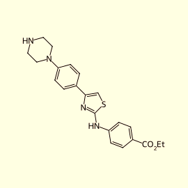 CCOC(=O)c1ccc(Nc2nc(-c3ccc(N4CCNCC4)cc3)cs2)cc1